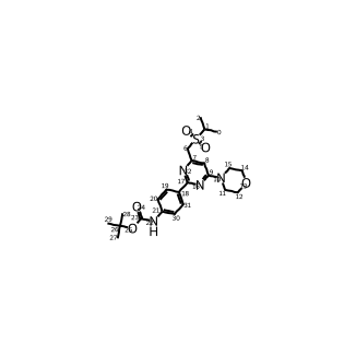 CC(C)S(=O)(=O)Cc1cc(N2CCOCC2)nc(-c2ccc(NC(=O)OC(C)(C)C)cc2)n1